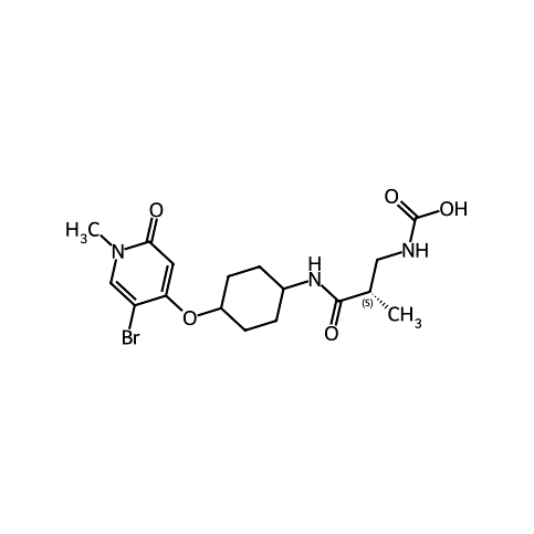 C[C@@H](CNC(=O)O)C(=O)NC1CCC(Oc2cc(=O)n(C)cc2Br)CC1